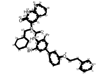 CC(C)c1cc(-c2cccc(OCCc3cccnc3)c2)cc(C(C)C)c1NC(=O)N(CC1CCCCC1)c1cc2cccnc2[nH]c1=O